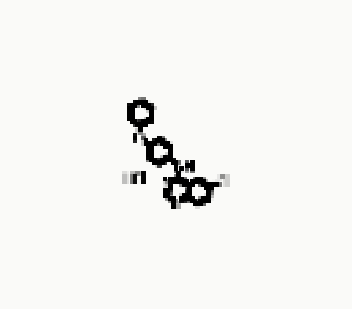 Cl.Clc1ccc2ncnc(Nc3ccc(Oc4ccccc4)cc3)c2c1